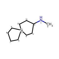 CNC1CC[Si]2(CCCC2)CC1